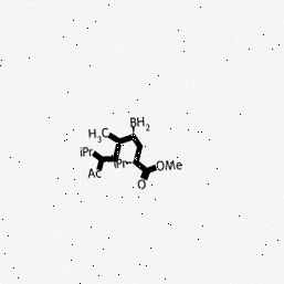 B[C@H](C[C@H](C(=O)OC)C(C)C)C(C)CC(C(C)=O)C(C)C